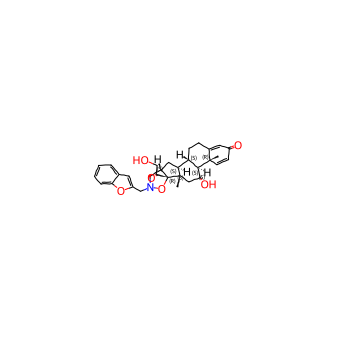 C[C@]12C=CC(=O)C=C1CC[C@@H]1[C@@H]2[C@@H](O)C[C@@]2(C)[C@H]1C[C@H]1CN(Cc3cc4ccccc4o3)O[C@]12C(=O)CO